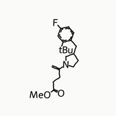 C=C(CCC(=O)OC)N1CCC(Cc2ccc(F)cc2C(C)(C)C)C1